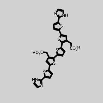 O=C(O)Cc1cc(-c2ccc(-c3ncc[nH]3)s2)sc1-c1ccc(-c2sc(-c3ccc(-c4ncc[nH]4)s3)cc2CC(=O)O)s1